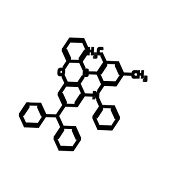 Cc1cc(C)c2c(c1)N(c1ccccc1)c1cc(C(c3ccccc3)c3ccccc3)cc3c1B2c1ccccc1O3